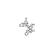 C#Cc1cnc(O[C@H]2C[C@@H](C(=O)O)N(c3nc(Cl)nc4c3oc3ccccc34)C2)c(N2CCOC[C@@H]2C)c1